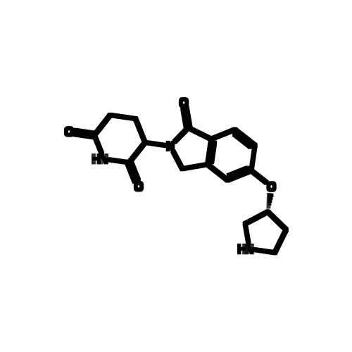 O=C1CCC(N2Cc3cc(O[C@@H]4CCNC4)ccc3C2=O)C(=O)N1